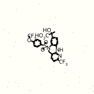 CC(O)(C(=O)O)c1ccc2c(c1)N(S(=O)(=O)c1ccc(OC(F)(F)F)cc1)Cc1ccc(C(F)(F)F)nc1N2